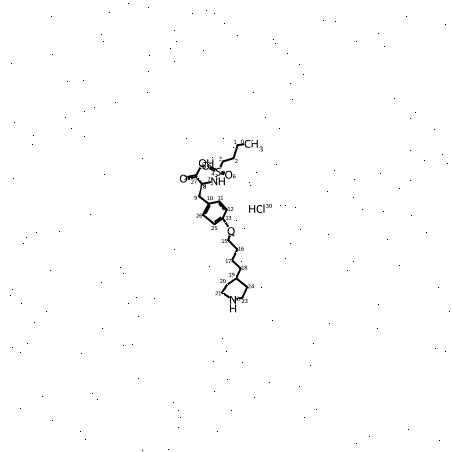 CCCCS(=O)(=O)N[C@@H](Cc1ccc(OCCCCC2CCNCC2)cc1)C(=O)O.Cl